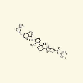 Cc1c(Nc2nccc3cc(CN4CC[C@@H](C)C4)cnc23)cccc1-c1cccc(-c2nc3c(s2)CN(C(=O)CN(C)C)C3)c1C